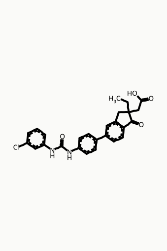 CCC1(CC(=O)O)Cc2cc(-c3ccc(NC(=O)Nc4cccc(Cl)c4)cc3)ccc2C1=O